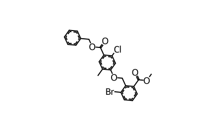 COC(=O)c1cccc(Br)c1COc1cc(Cl)c(C(=O)OCc2ccccc2)cc1C